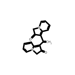 C=C(C1=C2C=CC=CN2CC1=O)C1=C2C=CC=CN2CC1=O